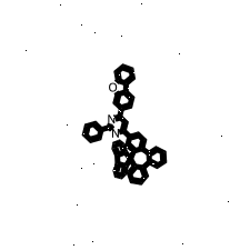 c1ccc(-c2nc(-c3ccc4c(c3)C3(c5ccccc5-c5ccccc5-4)c4ccccc4-c4ccccc43)cc(-c3ccc4c(c3)oc3ccccc34)n2)cc1